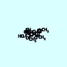 CNC(=O)c1c(-c2ccc(C)cc2)oc2cc3c(cc12)[C@H](C)O[C@H](CO)CN3S(C)(=O)=O